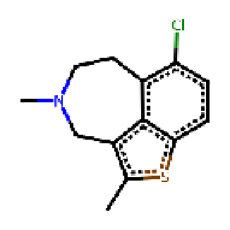 Cc1sc2ccc(Cl)c3c2c1CN(C)CC3